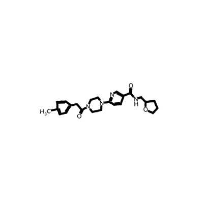 Cc1ccc(CC(=O)N2CCN(c3ccc(C(=O)NCC4CCCO4)cn3)CC2)cc1